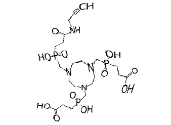 C#CCNC(=O)CCP(=O)(O)CN1CCN(CP(=O)(O)CCC(=O)O)CCN(CP(=O)(O)CCC(=O)O)CC1